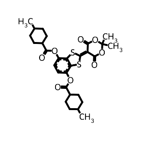 CC1CCC(C(=O)Oc2ccc(OC(=O)C3CCC(C)CC3)c3c2SC(=C2C(=O)OC(C)(C)OC2=O)S3)CC1